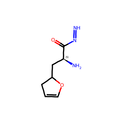 N=NC(=O)[C@@H](N)CC1CC=CO1